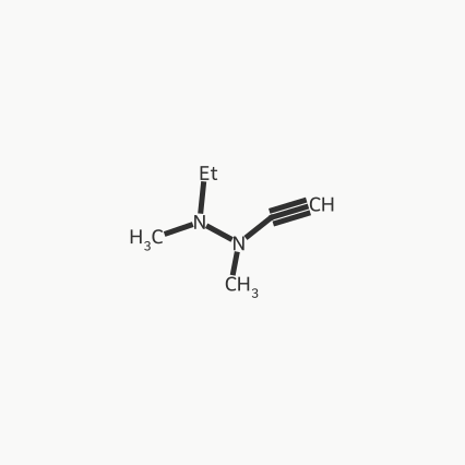 C#CN(C)N(C)CC